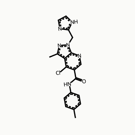 Cc1ccc(NC(=O)c2cnc3c(c(C)nn3Cc3ncc[nH]3)c2Cl)cc1